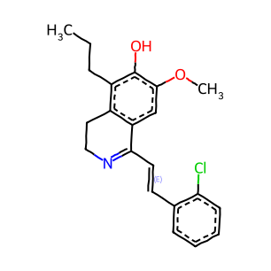 CCCc1c(O)c(OC)cc2c1CCN=C2/C=C/c1ccccc1Cl